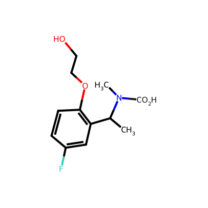 CC(c1cc(F)ccc1OCCO)N(C)C(=O)O